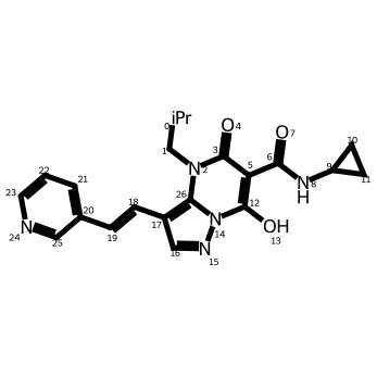 CC(C)Cn1c(=O)c(C(=O)NC2CC2)c(O)n2ncc(/C=C/c3cccnc3)c12